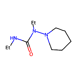 CCNC(=O)N(CC)N1CCCCC1